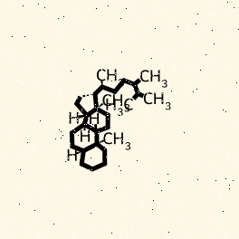 CC(C)C(C)CC[C@@H](C)[C@H]1CC[C@H]2[C@@H]3CC[C@@H]4CCCC[C@]4(C)[C@H]3CC[C@]12C